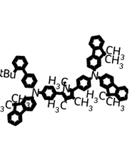 Cc1c(C)c(-c2ccc(N(c3ccc4c(c3)C(C)(C)c3ccccc3-4)c3ccc4c(c3)C(C)(C)c3ccccc3-4)cc2)n(C)c1-c1ccc(N(c2ccc(-c3ccccc3C(C)(C)C)cc2)c2ccc3c(c2)C(C)(C)c2ccccc2-3)cc1